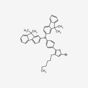 CCCCCCc1cc(Br)sc1-c1ccc(N(c2ccc3c(c2)C(C)(C)c2ccccc2-3)c2ccc3c(c2)C(C)(C)c2ccccc2-3)cc1